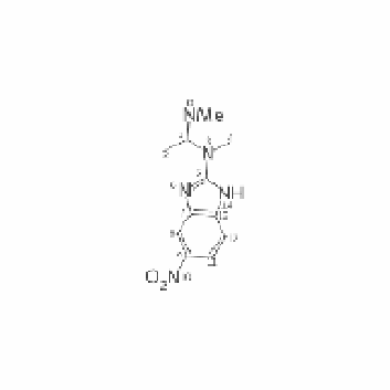 CNC(C)N(C)c1nc2cc([N+](=O)[O-])ccc2[nH]1